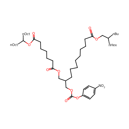 CCCCCCCCC(CCCCCCCC)OC(=O)CCCCCC(=O)OCC(CCCCCCCCC(=O)OCC(CCCC)CCCCCC)COC(=O)Oc1ccc([N+](=O)[O-])cc1